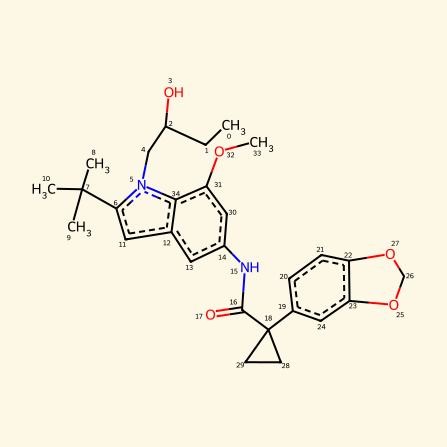 CCC(O)Cn1c(C(C)(C)C)cc2cc(NC(=O)C3(c4ccc5c(c4)OCO5)CC3)cc(OC)c21